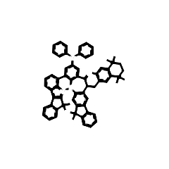 C=C1c2cc(N(c3ccccc3)c3ccccc3)cc3c2B(c2cc4c(cc2C1Cc1cc2c(cc1C)C(C)(C)CCC2(C)C)-c1ccccc1C4(C)C)n1c2c(c4cccc-3c41)-c1ccccc1C2(C)C